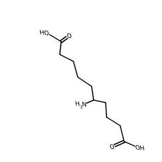 NC(CCCCC(=O)O)CCCC(=O)O